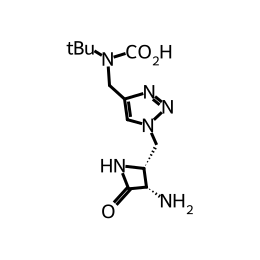 CC(C)(C)N(Cc1cn(C[C@H]2NC(=O)[C@H]2N)nn1)C(=O)O